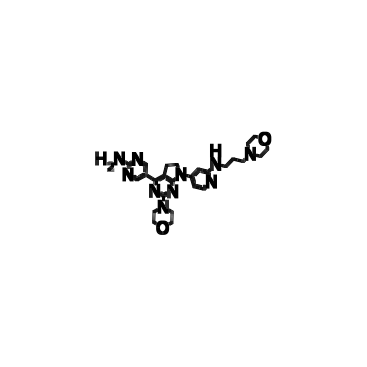 Nc1ncc(-c2nc(N3CCOCC3)nc3c2CCN3c2ccnc(NCCCN3CCOCC3)c2)cn1